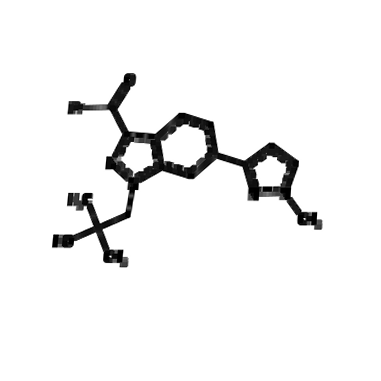 CC(C)C(=O)c1nn(CC(C)(C)O)c2cc(-c3ccn(C)n3)ccc12